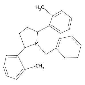 Cc1ccccc1C1CCC(c2ccccc2C)P1Cc1ccccc1